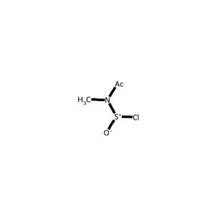 CC(=O)N(C)[S+]([O-])Cl